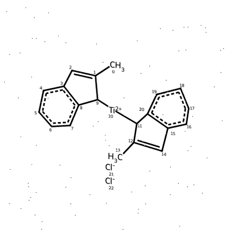 CC1=Cc2ccccc2[CH]1[Ti+2][CH]1C(C)=Cc2ccccc21.[Cl-].[Cl-]